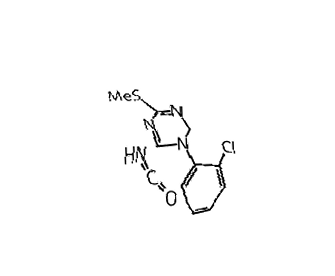 CSC1=NCN(c2ccccc2Cl)C=N1.N=C=O